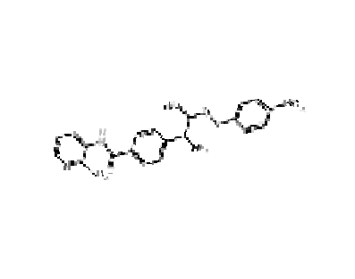 CCCCC(OCc1ccc([N+](=O)[O-])cc1)C(N)c1ccc(C(=O)Nc2cccnc2N)cc1